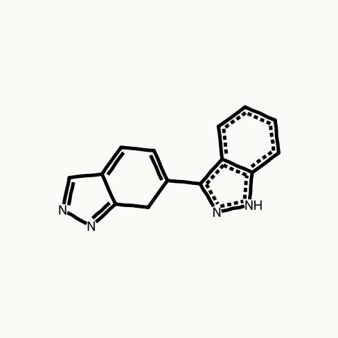 C1=NN=C2CC(c3n[nH]c4ccccc34)=CC=C12